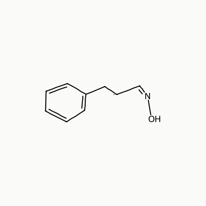 O/N=C\[CH]Cc1ccccc1